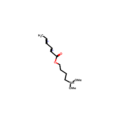 C/C=C/C=C/C(=O)OCCCC[SiH](OC)OC